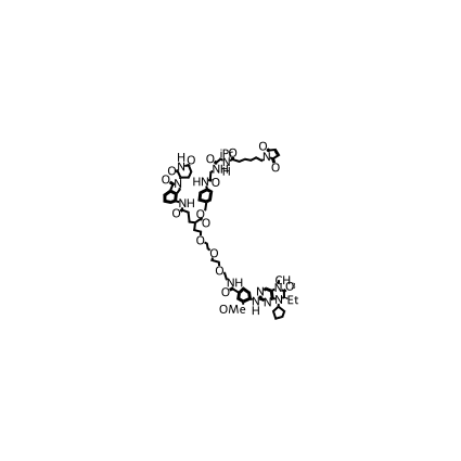 CC[C@@H]1C(=O)N(C)c2cnc(Nc3ccc(C(=O)NCCOCCOCCOCCC(CCC(=O)Nc4cccc5c4CN(C4CCC(=O)NC4=O)C5=O)C(=O)OCc4ccc(NC(=O)CNC(=O)C(NC(=O)CCCCCN5C(=O)C=CC5=O)C(C)C)cc4)cc3OC)nc2N1C1CCCC1